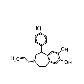 C=CCN1CCc2cc(O)c(O)cc2C(c2ccccc2)C1.Cl